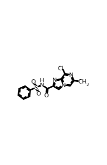 Cc1cn2cc(C(=O)NS(=O)(=O)c3ccccc3)nc2c(Cl)n1